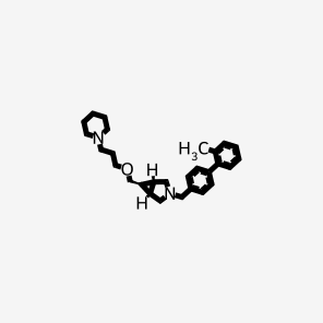 Cc1ccccc1-c1ccc(CN2C[C@@H]3[C@@H](COCCCN4CCCCC4)[C@@H]3C2)cc1